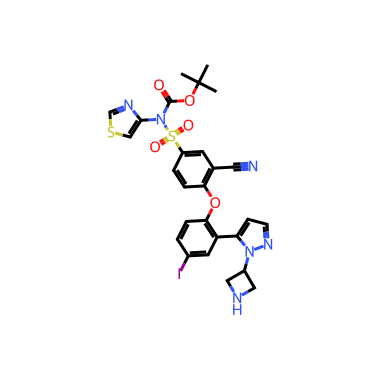 CC(C)(C)OC(=O)N(c1cscn1)S(=O)(=O)c1ccc(Oc2ccc(I)cc2-c2ccnn2C2CNC2)c(C#N)c1